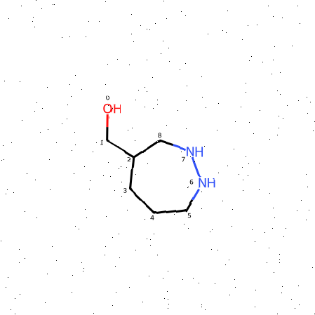 OCC1CCCNNC1